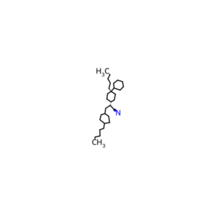 CCCCCC1CCC(CC(C#N)[C@H]2CC[C@@](CCCCC)(C3CCCCC3)CC2)CC1